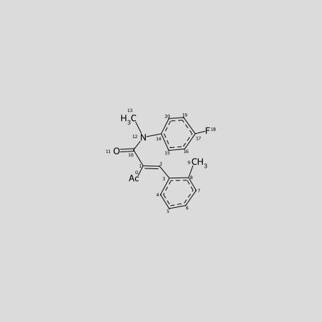 CC(=O)/C(=C\c1ccccc1C)C(=O)N(C)c1ccc(F)cc1